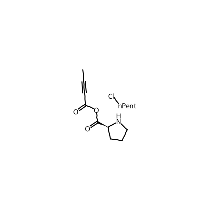 CC#CC(=O)OC(=O)[C@@H]1CCCN1.CCCCCCl